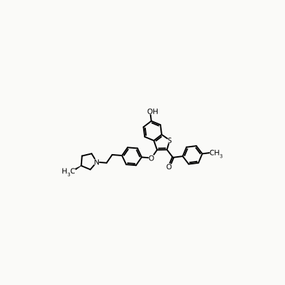 Cc1ccc(C(=O)c2sc3cc(O)ccc3c2Oc2ccc(CCN3CC[C@H](C)C3)cc2)cc1